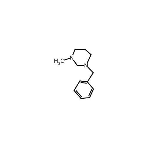 CN1CCCN(Cc2ccccc2)C1